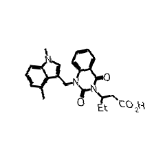 CCC(CC(=O)O)n1c(=O)c2ccccc2n(Cc2cn(C)c3cccc(C)c23)c1=O